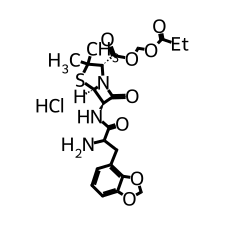 CCC(=O)OCOC(=O)[C@@H]1N2C(=O)[C@@H](NC(=O)C(N)Cc3cccc4c3OCO4)[C@H]2SC1(C)C.Cl